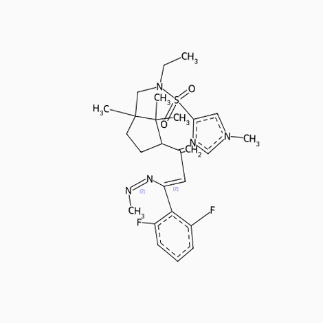 C=C(/C=C(\N=N/C)c1c(F)cccc1F)C1CCC(C)(CN(CC)S(=O)(=O)c2cn(C)cn2)C1(C)C